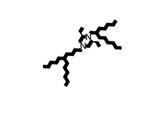 CCCCCCC(CCCCC)CCCCN1C[C@@H](CC)N(CC(CCCCC)CCCCCC)[C@@H](CC)C1